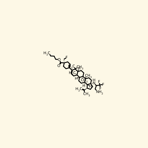 C=C(C)[C@@H]1CC[C@]2(NC(CN)C(F)(F)F)CC[C@]3(C)[C@H](CC[C@@H]4[C@@]5(C)CC=C(C6=CC[C@](CF)(C(=O)OCCCC)CC6)C(C)(C)[C@@H]5CC[C@]43C)[C@@H]12